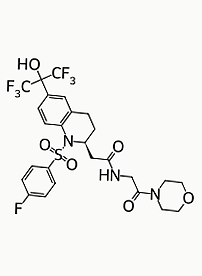 O=C(C[C@@H]1CCc2cc(C(O)(C(F)(F)F)C(F)(F)F)ccc2N1S(=O)(=O)c1ccc(F)cc1)NCC(=O)N1CCOCC1